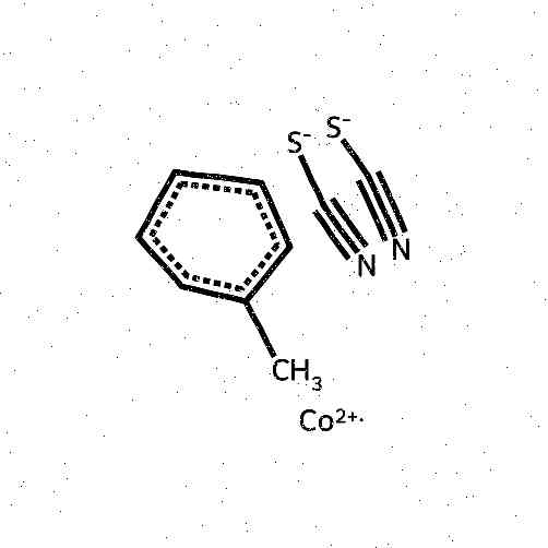 Cc1ccccc1.N#C[S-].N#C[S-].[Co+2]